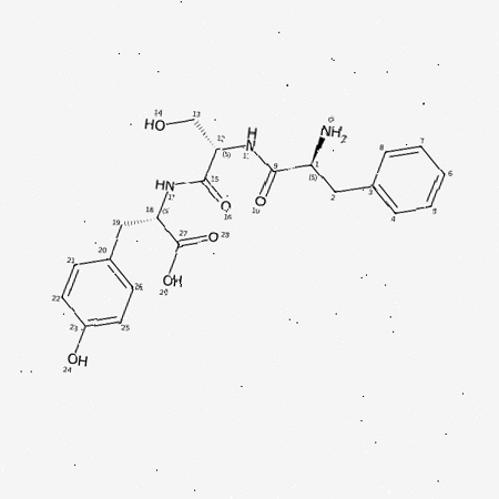 N[C@@H](Cc1ccccc1)C(=O)N[C@@H](CO)C(=O)N[C@@H](Cc1ccc(O)cc1)C(=O)O